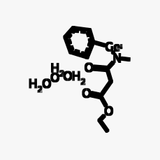 CCOC(=O)CC(=O)[N](C)[Ge][c]1ccccc1.O.O.O